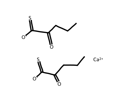 CCCC(=O)C([O-])=S.CCCC(=O)C([O-])=S.[Ca+2]